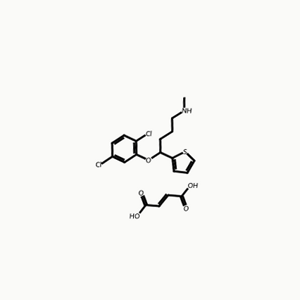 CNCCCC(Oc1cc(Cl)ccc1Cl)c1cccs1.O=C(O)C=CC(=O)O